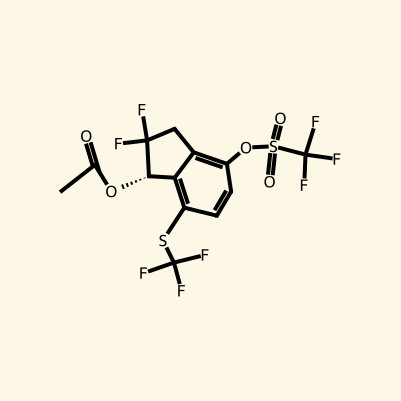 CC(=O)O[C@H]1c2c(SC(F)(F)F)ccc(OS(=O)(=O)C(F)(F)F)c2CC1(F)F